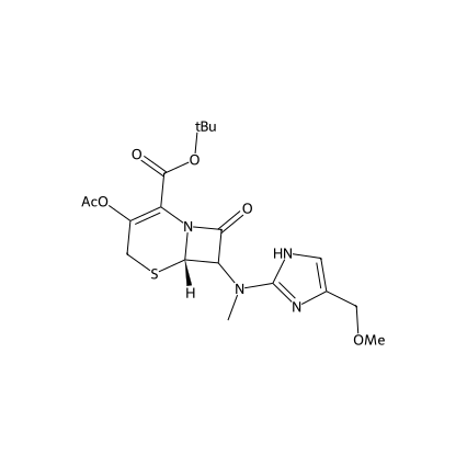 COCc1c[nH]c(N(C)C2C(=O)N3C(C(=O)OC(C)(C)C)=C(OC(C)=O)CS[C@@H]23)n1